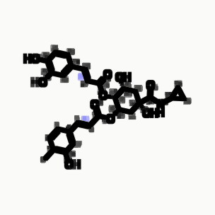 Cc1ccc(/C=C/C(=O)O[C@@H]2C[C@](O)(C(=O)NC3CC3)C[C@@H](O)[C@H]2OC(=O)/C=C/c2ccc(O)c(O)c2)cc1O